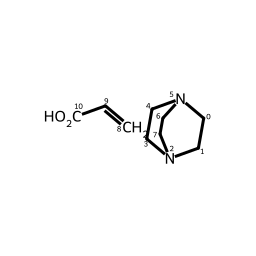 C1CN2CCN1CC2.C=CC(=O)O